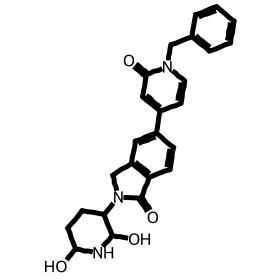 O=C1c2ccc(-c3ccn(Cc4ccccc4)c(=O)c3)cc2CN1C1CCC(O)NC1O